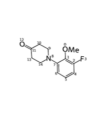 COc1c(F)cccc1N1CCC(=O)CC1